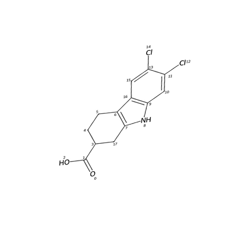 O=C(O)C1CCc2c([nH]c3cc(Cl)c(Cl)cc23)C1